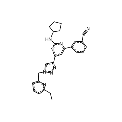 CCc1cccc(Cn2cc(-c3cc(-c4cccc(C#N)c4)nc(NC4CCCC4)n3)nn2)n1